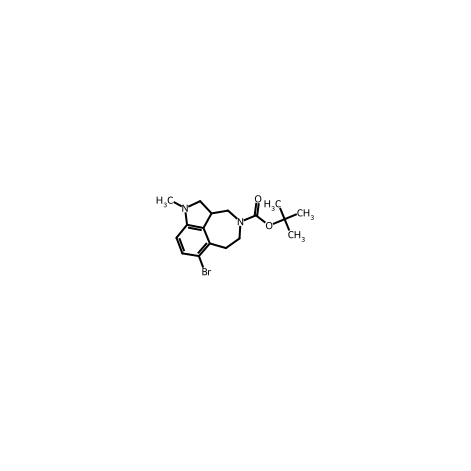 CN1CC2CN(C(=O)OC(C)(C)C)CCc3c(Br)ccc1c32